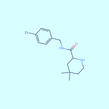 CCc1ccc(CNC(=O)C2CC(C)(C)CCN2)cc1